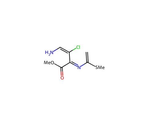 C=C(/N=C(C(=O)OC)\C(Cl)=C/N)SC